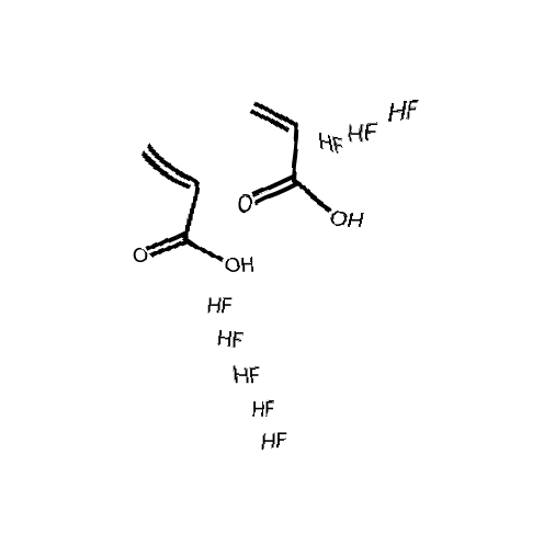 C=CC(=O)O.C=CC(=O)O.F.F.F.F.F.F.F.F